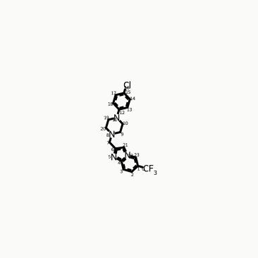 FC(F)(F)c1ccc2nc(CN3CCN(c4ccc(Cl)cc4)CC3)cn2c1